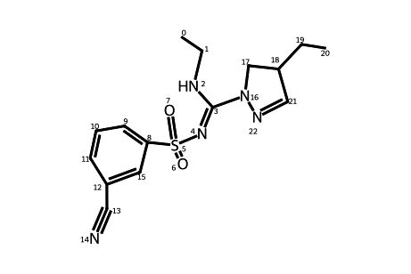 CCN/C(=N\S(=O)(=O)c1cccc(C#N)c1)N1CC(CC)C=N1